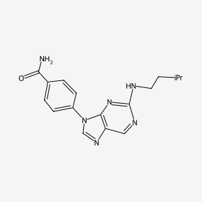 CC(C)CCNc1ncc2ncn(-c3ccc(C(N)=O)cc3)c2n1